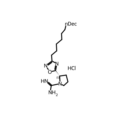 CCCCCCCCCCCCCCCCc1noc([C@@H]2CCCN2C(=N)N)n1.Cl